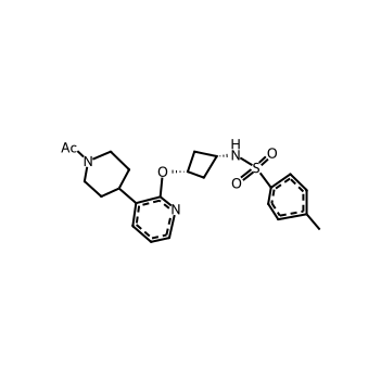 CC(=O)N1CCC(c2cccnc2O[C@H]2C[C@@H](NS(=O)(=O)c3ccc(C)cc3)C2)CC1